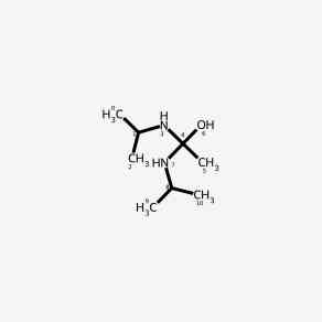 CC(C)NC(C)(O)NC(C)C